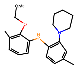 COCOc1c(C)cccc1Pc1ccc(C)cc1N1CCCCC1